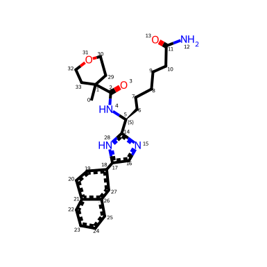 CC1(C(=O)N[C@@H](CCCCCC(N)=O)c2ncc(-c3ccc4ccccc4c3)[nH]2)CCOCC1